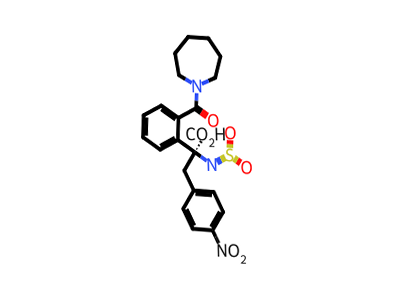 O=C(c1ccccc1[C@](Cc1ccc([N+](=O)[O-])cc1)(N=S(=O)=O)C(=O)O)N1CCCCCC1